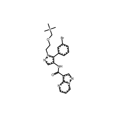 CS(C)(C)COCCn1ncc(NC(=O)c2cnn3cccnc23)c1-c1cccc(Br)c1